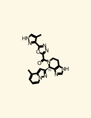 Cc1c[nH]nc1-c1nnc(C(=O)N2CCc3[nH]cnc3[C@H]2c2cc3c(C)cccn3n2)o1